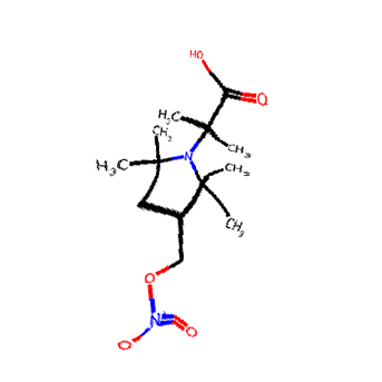 CC1(C)CC(CO[N+](=O)[O-])C(C)(C)N1C(C)(C)C(=O)O